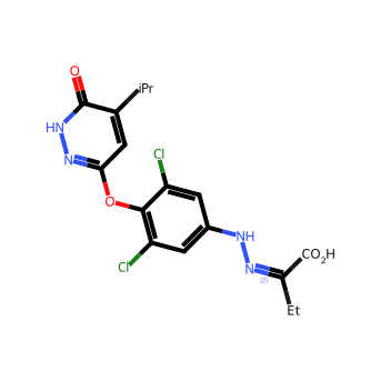 CC/C(=N/Nc1cc(Cl)c(Oc2cc(C(C)C)c(=O)[nH]n2)c(Cl)c1)C(=O)O